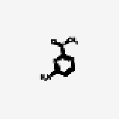 C[S+]([O-])c1nccc(N)n1